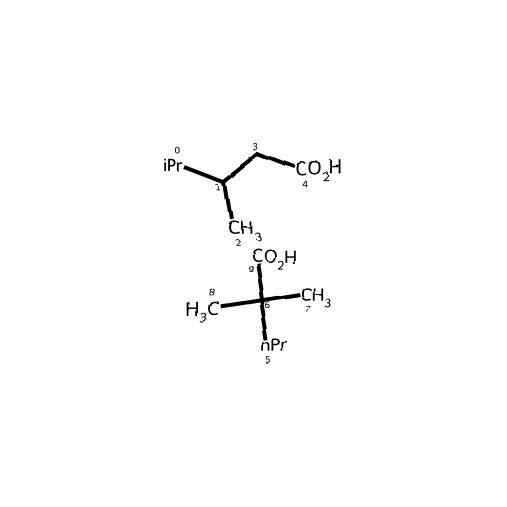 CC(C)C(C)CC(=O)O.CCCC(C)(C)C(=O)O